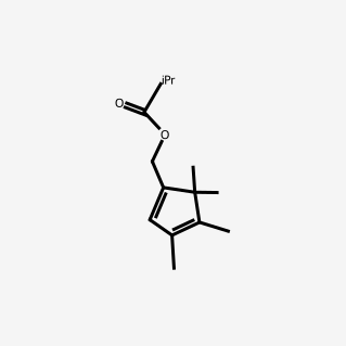 CC1=C(C)C(C)(C)C(COC(=O)C(C)C)=C1